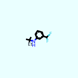 CCC(C)(C)Nc1cccc(C(F)F)c1